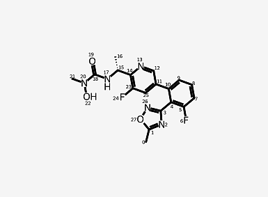 Cc1nc(-c2c(F)cccc2-c2cnc([C@@H](C)NC(=O)N(C)O)c(F)c2)no1